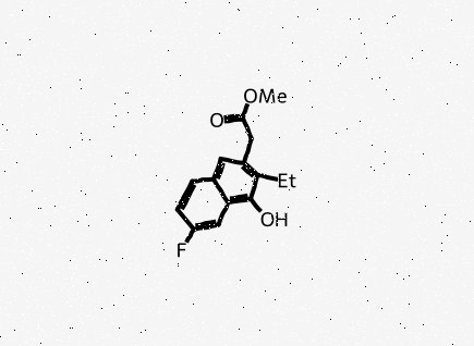 CCc1c(CC(=O)OC)cc2ccc(F)cc2c1O